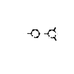 O=C([O-])c1cc(=O)[nH]c(=O)[nH]1.O=C([O-])c1ccccn1.[Zn+2]